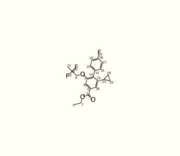 CCOC(=O)c1cc(OCC(C)(F)F)c(-c2ccc(F)cc2)c(C2CC2)c1